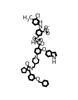 Cc1ccc(Nc2ccc(S(=O)(=O)NC(=O)c3ccc(N4CCC(CN5C(=O)C6(CCCC6)C5c5cccc(OCc6ccccc6)c5)CC4)cc3Oc3ccc4[nH]ccc4c3)cc2[N+](=O)[O-])cc1Cl